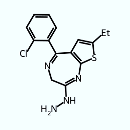 CCc1cc2c(s1)N=C(NN)CN=C2c1ccccc1Cl